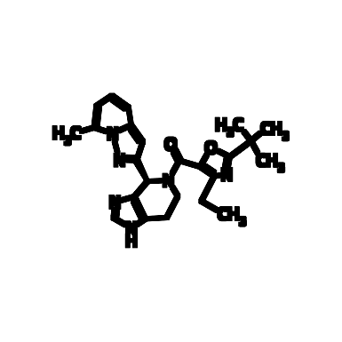 CCc1nc(C(C)(C)C)oc1C(=O)N1CCc2[nH]cnc2[C@H]1c1cc2cccc(C)n2n1